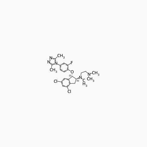 Cc1nnc(C)n1-c1ccc(O[C@H]2c3cc(Cl)cc(Cl)c3C[C@@H]2N(C)CCN(C)C)c(F)c1